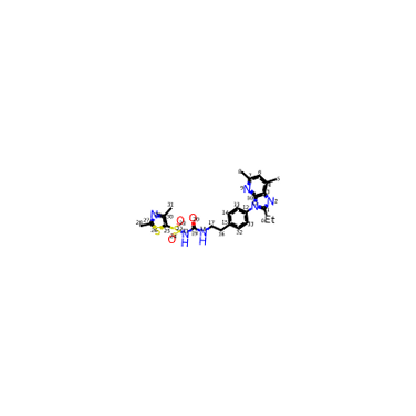 CCc1nc2c(C)cc(C)nc2n1-c1ccc(CCNC(=O)NS(=O)(=O)c2sc(C)nc2C)cc1